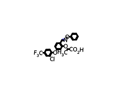 CC(Oc1cc(Oc2ccc(C(F)(F)F)cc2Cl)ccc1/C=N/Oc1ccccc1)C(=O)O